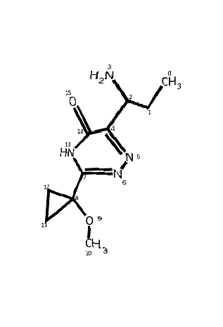 CCC(N)c1nnc(C2(OC)CC2)[nH]c1=O